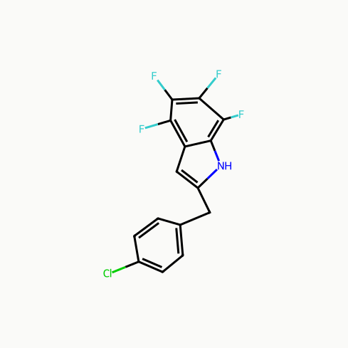 Fc1c(F)c(F)c2[nH]c(Cc3ccc(Cl)cc3)cc2c1F